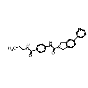 CCCNC(=O)c1ccc(NC(=O)N2Cc3ccc(-c4cccnc4)cc3C2)cc1